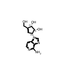 Nc1nccc2c1ncn2[C@@H]1C=C(CO)[C@H](O)[C@@H]1O